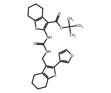 CC(C)(C)OC(=O)c1c(NC(=O)NCc2c(-c3ccoc3)sc3c2CCCC3)sc2c1CCCC2